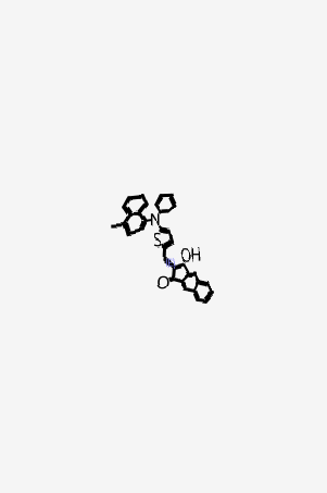 Cc1ccc(N(c2ccccc2)c2ccc(/C=C3/C(=O)c4cc5ccccc5cc4C3O)s2)c2ccccc12